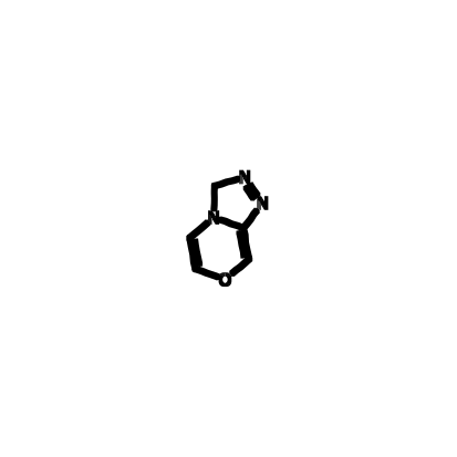 C1=CN2CN=NC2=CO1